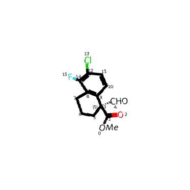 COC(=O)[C@@]1(C=O)CCCc2c1ccc(Cl)c2F